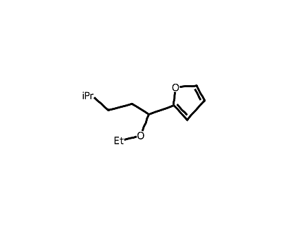 CCOC(CCC(C)C)c1ccco1